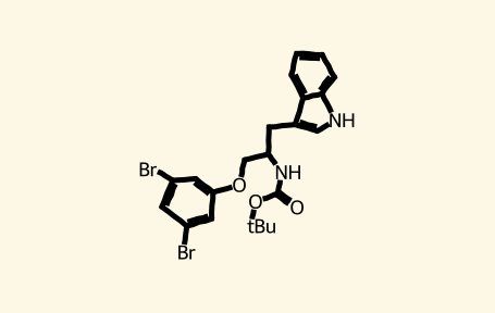 CC(C)(C)OC(=O)NC(COc1cc(Br)cc(Br)c1)Cc1c[nH]c2ccccc12